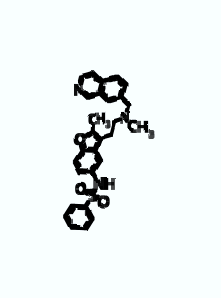 Cc1oc2ccc(NS(=O)(=O)c3ccccc3)cc2c1CCN(C)Cc1ccc2ccncc2c1